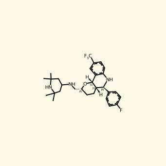 CC1(C)CC(NC[C@H]2CC[C@@H]3[C@H](O2)c2cc(C(F)(F)F)ccc2N[C@H]3c2ccc(F)cc2)CC(C)(C)N1